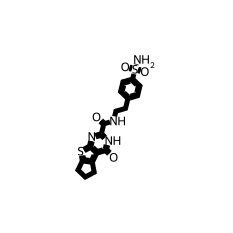 NS(=O)(=O)c1ccc(CCNC(=O)c2nc3sc4c(c3c(=O)[nH]2)CCC4)cc1